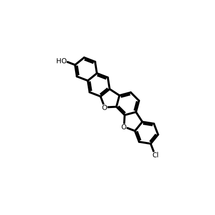 Oc1ccc2cc3c(cc2c1)oc1c3ccc2c3ccc(Cl)cc3oc21